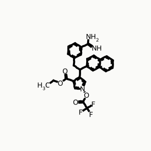 CCOC(=O)c1cn(OC(=O)C(F)(F)F)cc1C(Cc1cccc(C(=N)N)c1)c1ccc2ccccc2c1